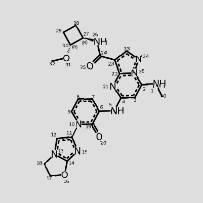 CNc1cc(Nc2cccn(-c3cn4c(n3)OCC4)c2=O)nc2c(C(=O)N[C@@H]3CC[C@H]3OC)cnn12